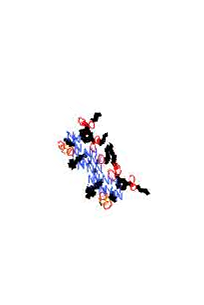 CCCCOC(=O)c1cc(C(=O)OCCCC)cc(-n2ncc(S(C)(=O)=O)c2N=Nc2c(C(C)(C)C)nn(-c3nc(OCCCC)nc(-n4nc(C(C)(C)C)c(N=Nc5c(S(C)(=O)=O)cnn5-c5cc(C(=O)OCCCC)cc(C(=O)OCCCC)c5)c4N)n3)c2N)c1